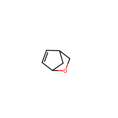 C1=CC2CC1CO2